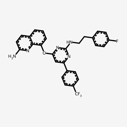 Nc1ccc2cccc(Oc3cc(-c4ccc(C(F)(F)F)cc4)nc(NCCc4ccc(F)cc4)n3)c2n1